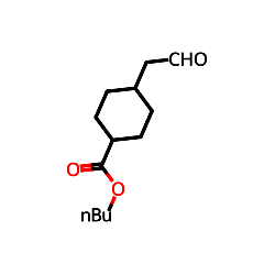 CCCCOC(=O)C1CCC(CC=O)CC1